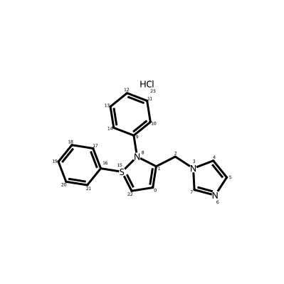 C1=C(Cn2ccnc2)N(c2ccccc2)S(c2ccccc2)=C1.Cl